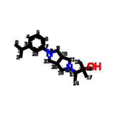 CC(C)c1cccc(N2CC3CN(C(C)C(C)(C)O)CC3C2)c1